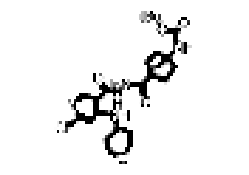 CC(C)(C)OC(=O)NC12CCC(C(=O)NNC(=O)c3cnc(Cl)cc3NC3CCOCC3)(CC1)CC2